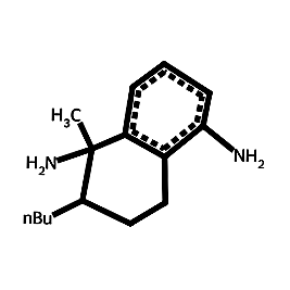 CCCCC1CCc2c(N)cccc2C1(C)N